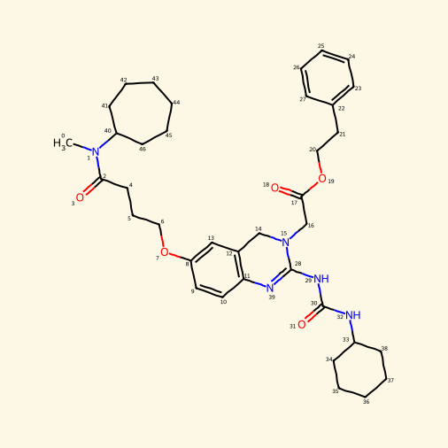 CN(C(=O)CCCOc1ccc2c(c1)CN(CC(=O)OCCc1ccccc1)C(NC(=O)NC1CCCCC1)=N2)C1CCCCCC1